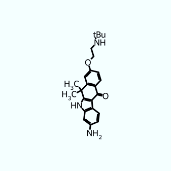 CC(C)(C)NCCOc1ccc2c(c1)C(C)(C)c1[nH]c3cc(N)ccc3c1C2=O